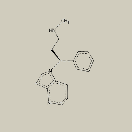 CNCC[C@@H](c1ccccc1)n1ccc2ncccc21